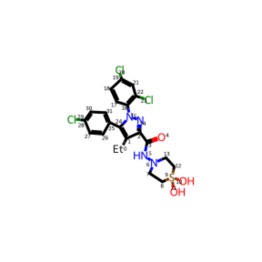 CCc1c(C(=O)NN2CCS(O)(O)CC2)nn(-c2ccc(Cl)cc2Cl)c1-c1ccc(Cl)cc1